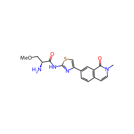 COC[C@H](N)C(=O)Nc1nc(-c2ccc3ccn(C)c(=O)c3c2)cs1